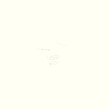 OCCO.[C-]#N.[C-]#N.[Co+2]